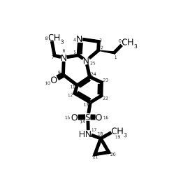 CC[C@@H]1CN=C2N(CC)C(=O)c3cc(S(=O)(=O)NC4(C)CC4)ccc3N21